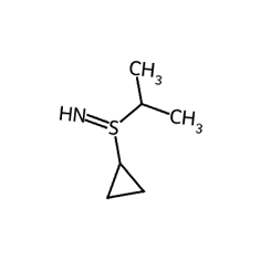 CC(C)S(=N)C1CC1